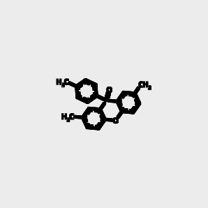 Cc1ccc(P2(=O)c3cc(C)ccc3Oc3ccc(C)cc32)cc1